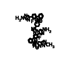 Cc1ncc(CNS(=O)(=O)c2ccccc2-c2cc(F)c(-c3cnc(N)cn3)c(-n3cnc(C4CCN(S(=O)(=O)c5ccccc5-c5ccc(-c6cnc(N)cn6)c(F)c5)CC4)c3)c2)c(N)n1